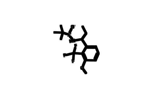 CCC(N[S+]([O-])C(C)(C)C)c1cccc(OC)c1C(F)(F)F